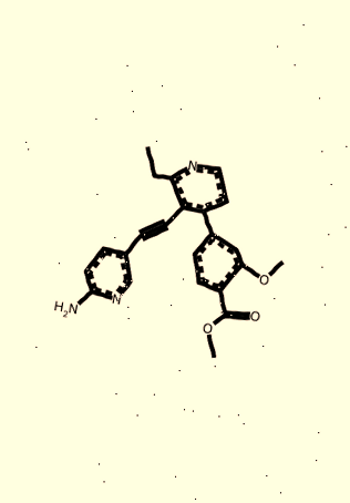 CCc1nccc(-c2ccc(C(=O)OC)c(OC)c2)c1C#Cc1ccc(N)nc1